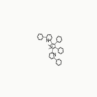 C[Si]1(C)C(c2cccc(-c3ccccc3)n2)=C(c2ccccc2)C(c2ccccc2)=C1c1cccc(-c2ccccc2)n1